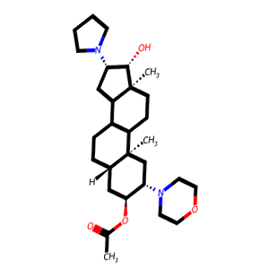 CC(=O)O[C@H]1C[C@@H]2CCC3C4C[C@H](N5CCCC5)[C@H](O)[C@@]4(C)CCC3[C@@]2(C)C[C@@H]1N1CCOCC1